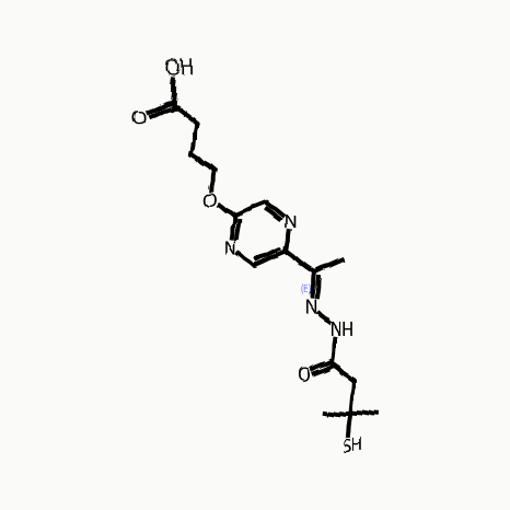 C/C(=N\NC(=O)CC(C)(C)S)c1cnc(OCCCC(=O)O)cn1